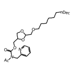 CCCCCCCCCCCCCCCCOCC1OCC(COC(=O)N(Cc2ccccn2)C(C)=O)O1